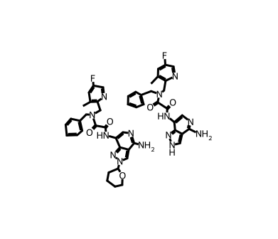 Cc1cc(F)cnc1CN(Cc1ccccc1)C(=O)C(=O)Nc1cnc(N)c2c[nH]nc12.Cc1cc(F)cnc1CN(Cc1ccccc1)C(=O)C(=O)Nc1cnc(N)c2cn(C3CCCCO3)nc12